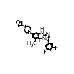 Cc1cc(N2CCN(C3COC3)CC2)cc(Nc2ncn(-c3cc(F)cc(F)c3)n2)c1F